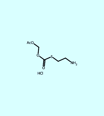 CC(=O)OCOC(=O)SCCN.Cl